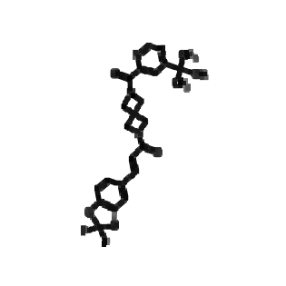 CC(C)(O)c1cc(C(=O)N2CC3(CN(C(=O)/C=C/c4ccc5c(c4)OC(F)(F)O5)C3)C2)ncn1